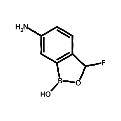 Nc1ccc2c(c1)B(O)OC2F